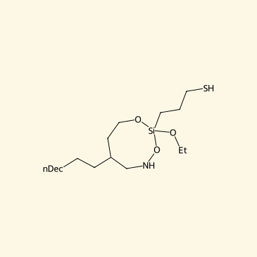 CCCCCCCCCCCCC1CCO[Si](CCCS)(OCC)ONC1